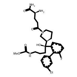 CCc1cccc(-c2c(F)cccc2[C@](O)(CCCNC(=O)OC)[C@@H]2CCCN(C(=O)CC[C@H](N)C(N)=O)C2)c1